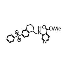 COC(=O)c1ccncc1NCC1CCCc2cc(S(=O)(=O)c3ccccc3)ccc21